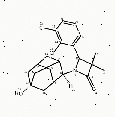 CC1(C)C(=O)N([C@H]2C3CC4CC2C[C@](O)(C4)C3)C1c1cccc(Cl)c1Cl